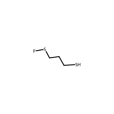 FSCCCS